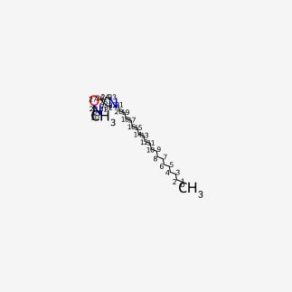 CCCCCCCCCCCCCCCCCCCCCCN1CCC2(COCN(C)C2)C1